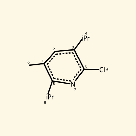 Cc1cc(C(C)C)c(Cl)nc1C(C)C